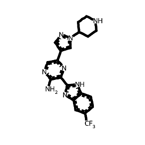 Nc1ncc(-c2cnn(C3CCNCC3)c2)nc1-c1nc2cc(C(F)(F)F)ccc2[nH]1